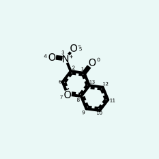 O=c1c([N+](=O)[O-])coc2ccccc12